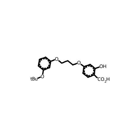 CC(C)(C)Oc1cccc(OCCCOc2ccc(C(=O)O)c(O)c2)c1